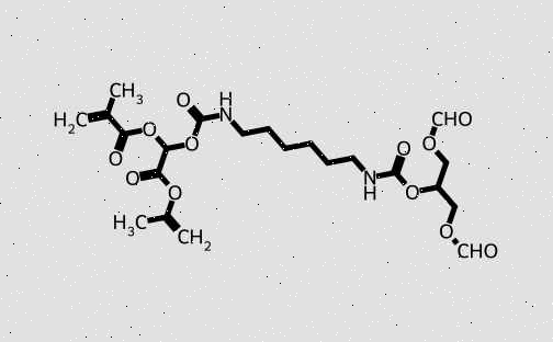 C=C(C)OC(=O)C(OC(=O)NCCCCCCNC(=O)OC(COC=O)COC=O)OC(=O)C(=C)C